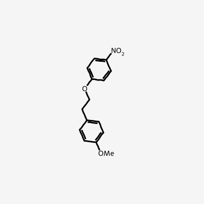 COc1ccc(CCOc2ccc([N+](=O)[O-])cc2)cc1